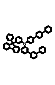 c1ccc(-c2ccc(-c3ccc(N(c4cccc(-c5cccc(-c6ccccc6)c5)c4)c4cccc(C5(c6ccccc6)c6ccccc6-c6ccccc65)c4)cc3)cc2)cc1